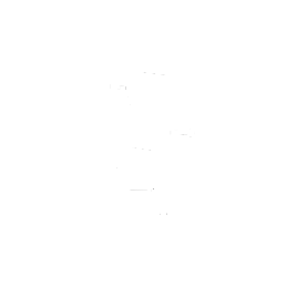 O=C1CCCC(C(=O)C2CCCC(=O)C2)C1